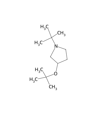 CC(C)(C)OC1CCN(C(C)(C)C)C1